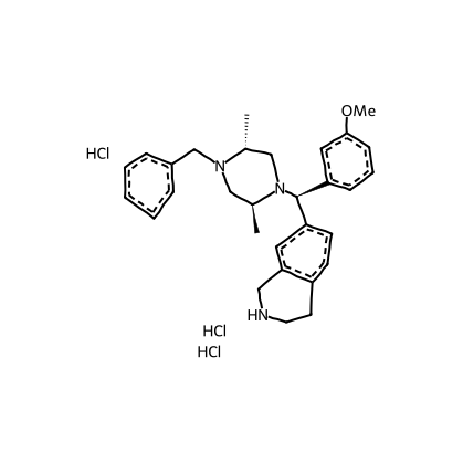 COc1cccc([C@@H](c2ccc3c(c2)CNCC3)N2C[C@@H](C)N(Cc3ccccc3)C[C@@H]2C)c1.Cl.Cl.Cl